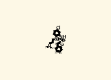 CN(C)CCCSc1ccc(Cl)cc1NS(=O)(=O)c1cc2ccccc2o1